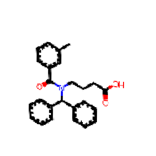 Cc1cccc(C(=O)N(CCCC(=O)O)C(c2ccccc2)c2ccccc2)c1